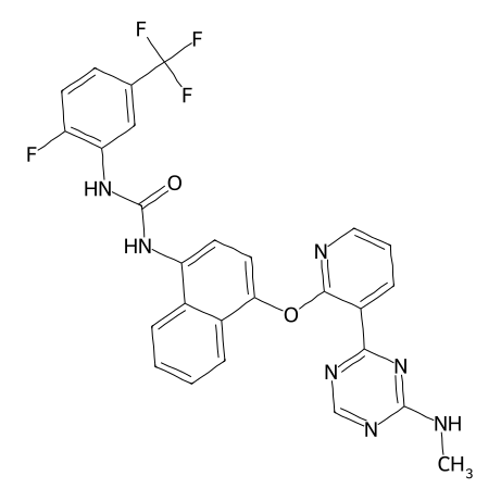 CNc1ncnc(-c2cccnc2Oc2ccc(NC(=O)Nc3cc(C(F)(F)F)ccc3F)c3ccccc23)n1